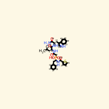 CC(C)C[C@H](NC(=O)CP(=O)(O)C(Cc1ccccc1)NC(=O)c1cccs1)C(=O)N[C@@H](Cc1c[nH]c2ccccc12)C(N)=O